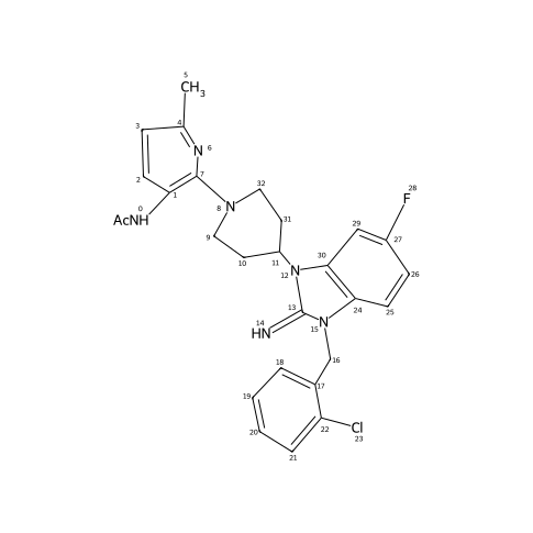 CC(=O)Nc1ccc(C)nc1N1CCC(n2c(=N)n(Cc3ccccc3Cl)c3ccc(F)cc32)CC1